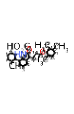 Cc1ccccc1-c1cccc2c(CCCOc3c(C)ccc(C)c3C)c(OC(=O)O)[nH]c12